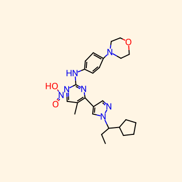 CCC(C1CCCC1)n1cc(-c2nc(Nc3ccc(N4CCOCC4)cc3)ncc2C)cn1.O=NO